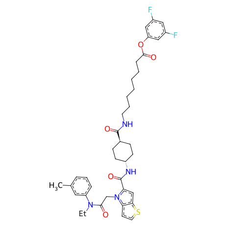 CCN(C(=O)Cn1c(C(=O)N[C@H]2CC[C@H](C(=O)NCCCCCCCC(=O)Oc3cc(F)cc(F)c3)CC2)cc2sccc21)c1cccc(C)c1